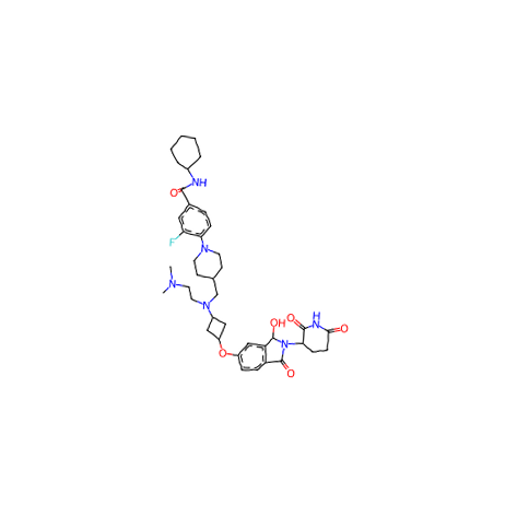 CN(C)CCN(CC1CCN(c2ccc(C(=O)NC3CCCCC3)cc2F)CC1)C1CC(Oc2ccc3c(c2)C(O)N(C2CCC(=O)NC2=O)C3=O)C1